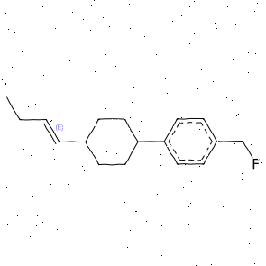 CC/C=C/C1CCC(c2ccc(CF)cc2)CC1